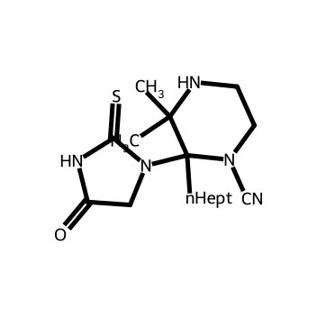 CCCCCCCC1(N2CC(=O)NC2=S)N(C#N)CCNC1(C)C